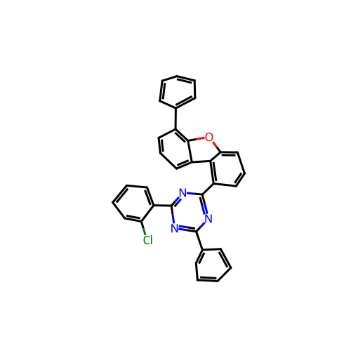 Clc1ccccc1-c1nc(-c2ccccc2)nc(-c2cccc3oc4c(-c5ccccc5)cccc4c23)n1